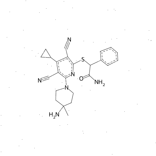 CC1(N)CCN(c2nc(SC(C(N)=O)c3ccccc3)c(C#N)c(C3CC3)c2C#N)CC1